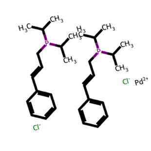 CC(C)P(CC=Cc1ccccc1)C(C)C.CC(C)P(CC=Cc1ccccc1)C(C)C.[Cl-].[Cl-].[Pd+2]